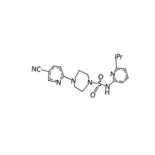 CC(C)c1cccc(NS(=O)(=O)N2CCN(c3ccc(C#N)cn3)CC2)n1